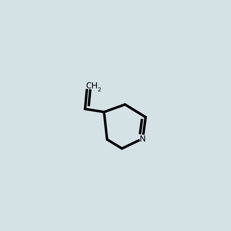 C=CC1CC=NCC1